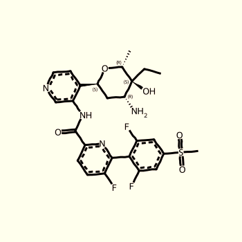 CC[C@]1(O)[C@H](N)C[C@@H](c2ccncc2NC(=O)c2ccc(F)c(-c3c(F)cc(S(C)(=O)=O)cc3F)n2)O[C@@H]1C